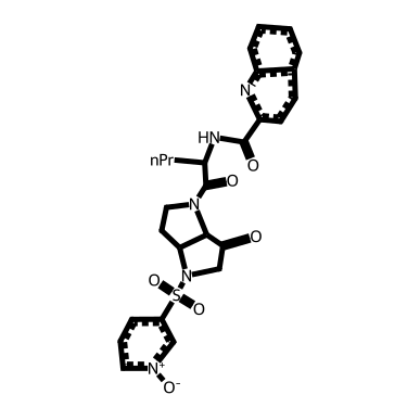 CCCC(NC(=O)c1ccc2ccccc2n1)C(=O)N1CCC2C1C(=O)CN2S(=O)(=O)c1ccc[n+]([O-])c1